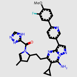 COc1ccc(-c2ccc(-c3cnn4c(N)c(C5CC5)c(CCC5CC(C)=CN5C(=O)c5nnc[nH]5)nc34)cn2)cc1F